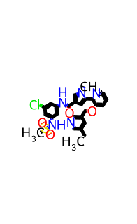 CCc1cncc(COc2cccnc2-c2cc(C(=O)Nc3cc(Cl)cc(NS(C)(=O)=O)c3)cn2C)c1